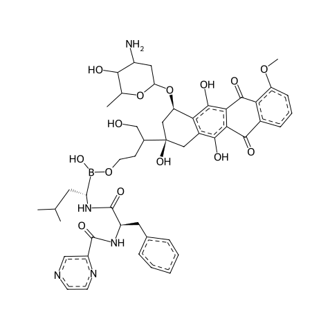 COc1cccc2c1C(=O)c1c(O)c3c(c(O)c1C2=O)C[C@](O)(C(CO)CCOB(O)[C@@H](CC(C)C)NC(=O)[C@@H](Cc1ccccc1)NC(=O)c1cnccn1)C[C@H]3OC1CC(N)C(O)C(C)O1